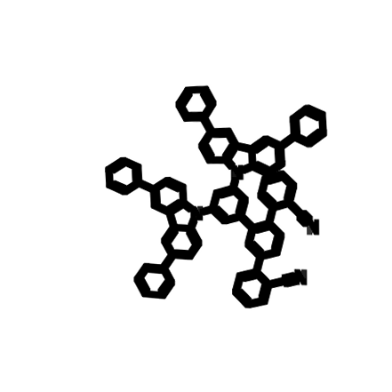 N#Cc1ccccc1-c1ccc(-c2ccccc2C#N)c(-c2cc(-n3c4ccc(-c5ccccc5)cc4c4cc(-c5ccccc5)ccc43)cc(-n3c4ccc(-c5ccccc5)cc4c4cc(-c5ccccc5)ccc43)c2)c1